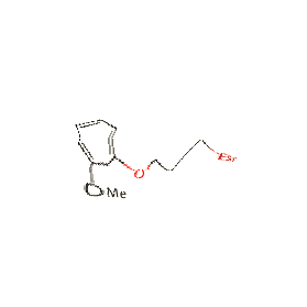 COc1ccccc1OCCCBr